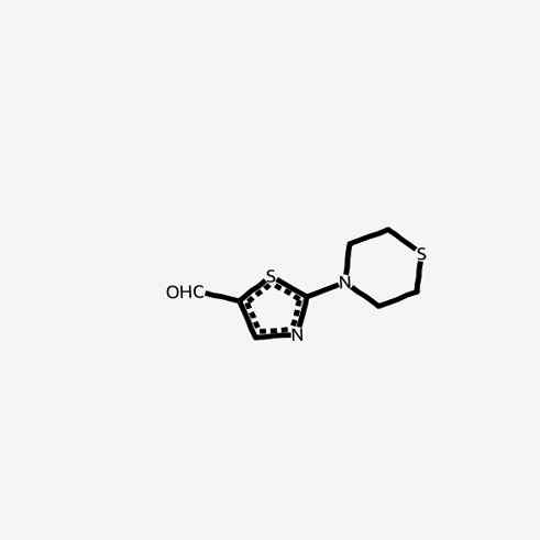 O=Cc1cnc(N2CCSCC2)s1